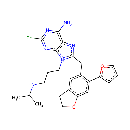 CC(C)NCCCn1c(Cc2cc3c(cc2-c2ccco2)OCC3)nc2c(N)nc(Cl)nc21